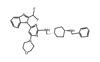 FC(F)c1nc2ccccc2n1-c1cc(N2CCOCC2)nc(NC[C@H]2CC[C@H](NCc3ccccc3)CC2)n1